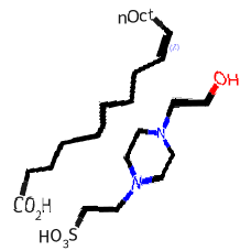 CCCCCCCC/C=C\CCCCCCCC(=O)O.O=S(=O)(O)CCN1CCN(CCO)CC1